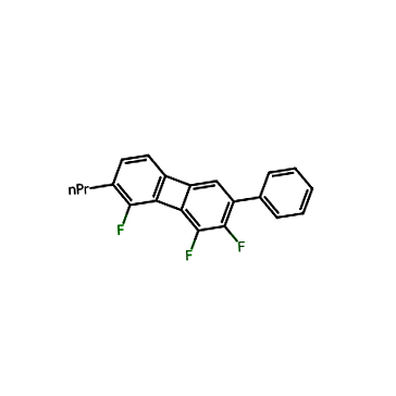 CCCc1ccc2c(c1F)-c1c-2cc(-c2ccccc2)c(F)c1F